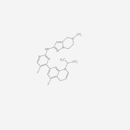 CC(C)N1C=CCc2c(F)cc(-c3nc(Nc4cc5n(n4)CCN(C)C5)ncc3F)cc21